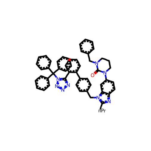 CCCc1nc2ccc(N3CCCN(Cc4ccccc4)C3=O)cc2n1Cc1ccc(-c2ccccc2-c2nnnn2C(c2ccccc2)(c2ccccc2)c2ccccc2)cc1